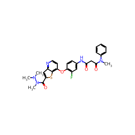 CN(C(=O)CC(=O)Nc1ccc(Oc2ccnc3cc(C(=O)N(C)N(C)C)sc23)c(F)c1)c1ccccc1